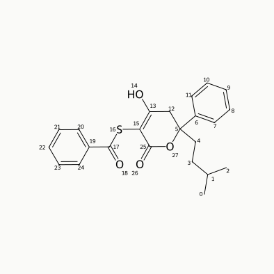 CC(C)CCC1(c2ccccc2)CC(O)=C(SC(=O)c2ccccc2)C(=O)O1